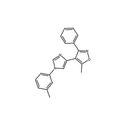 Cc1cccc(-n2cnc(-c3c(-c4ccccc4)noc3C)c2)c1